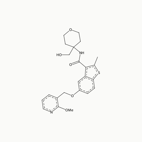 COc1ncccc1COc1ccc2sc(C)c(C(=O)NC3(CO)CCOCC3)c2c1